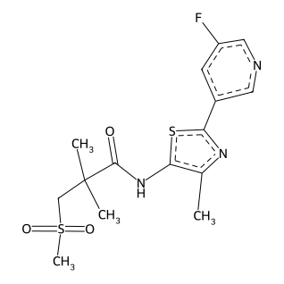 Cc1nc(-c2cncc(F)c2)sc1NC(=O)C(C)(C)CS(C)(=O)=O